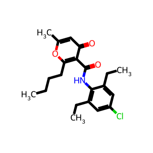 CCCCc1oc(C)cc(=O)c1C(=O)Nc1c(CC)cc(Cl)cc1CC